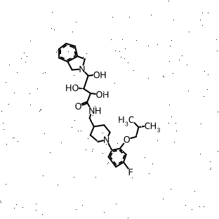 CC(C)COc1cc(F)ccc1N1CCC(CNC(=O)C(O)[C@@H](O)C(O)N2Cc3ccccc3C2)CC1